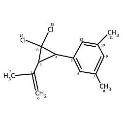 C=C(C)C1C(c2cc(C)cc(C)c2)C1(Cl)Cl